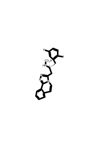 O=C(O)N[C@H](Cc1cc(F)ccc1F)Cc1nnc2c3ccccc3ccn12